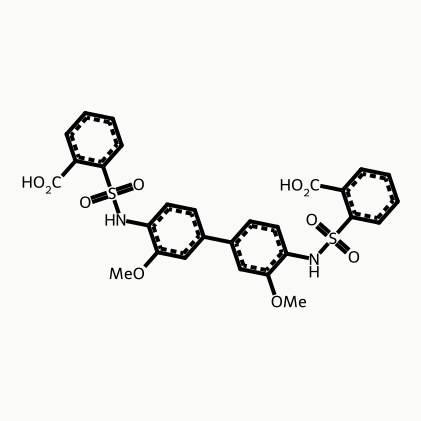 COc1cc(-c2ccc(NS(=O)(=O)c3ccccc3C(=O)O)c(OC)c2)ccc1NS(=O)(=O)c1ccccc1C(=O)O